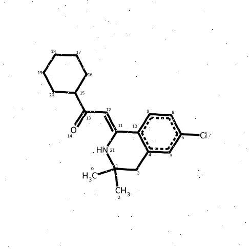 CC1(C)Cc2cc(Cl)ccc2/C(=C/C(=O)C2CCCCC2)N1